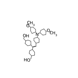 COC1CCC(N(C2CCC(C=C(C3CCC(CO)CC3)C3CCC(CO)CC3)CC2)C2CCC(OC)CC2)CC1